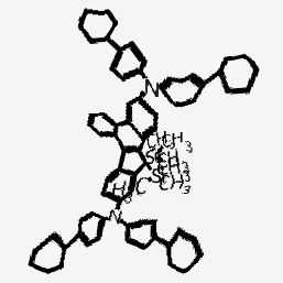 C[Si](C)(C)C1([Si](C)(C)C)c2cc(N(c3ccc(C4CCCCC4)cc3)c3ccc(C4CCCCC4)cc3)ccc2-c2c1c1ccc(N(c3ccc(C4CCCCC4)cc3)c3ccc(C4CCCCC4)cc3)cc1c1ccccc21